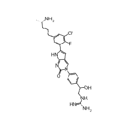 C[C@H](N)CCCc1cc(Cl)c(F)c(-c2cc3cn(-c4ccc(C(O)CNC(=N)N)cc4)c(=O)nc3[nH]2)c1